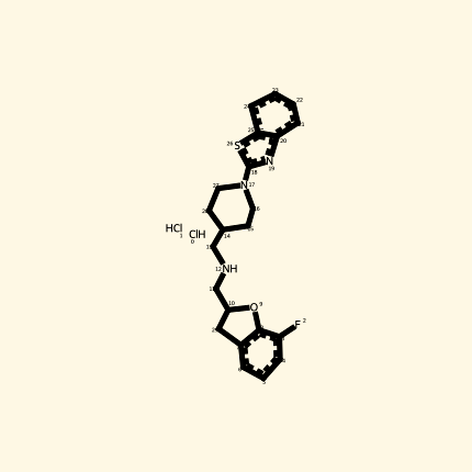 Cl.Cl.Fc1cccc2c1OC(CNCC1CCN(c3nc4ccccc4s3)CC1)C2